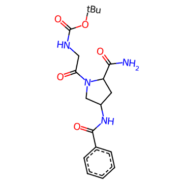 CC(C)(C)OC(=O)NCC(=O)N1CC(NC(=O)c2ccccc2)CC1C(N)=O